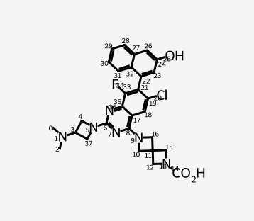 CN(C)C1CN(c2nc(N3CC4(CN(C(=O)O)C4)C3)c3cc(Cl)c(-c4cc(O)cc5ccccc45)c(F)c3n2)C1